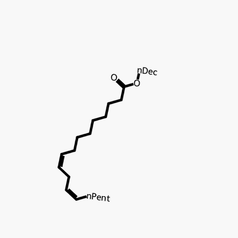 CCCCC/C=C\C/C=C\CCCCCCCC(=O)OCCCCCCCCCC